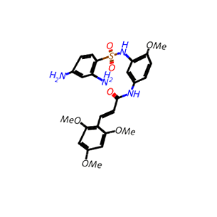 COc1cc(OC)c(/C=C/C(=O)Nc2ccc(OC)c(NS(=O)(=O)c3ccc(N)cc3N)c2)c(OC)c1